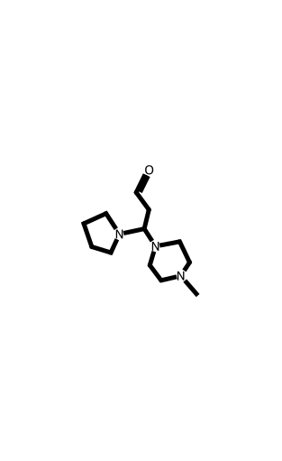 CN1CCN(C(CC=O)N2CCCC2)CC1